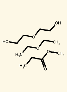 CCC(=O)OC.CCOCC.OCCOCCO